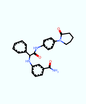 NC(=O)c1cccc(NC(C(=O)Nc2ccc(N3CCCCC3=O)cc2)c2ccccc2)c1